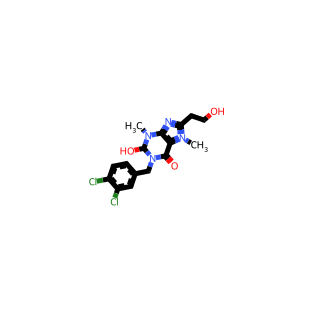 CN1c2nc(CCO)n(C)c2C(=O)N(Cc2ccc(Cl)c(Cl)c2)C1O